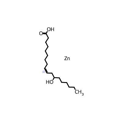 CCCCCCC(O)C/C=C\CCCCCCCC(=O)O.[Zn]